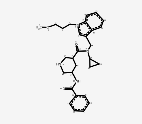 COCCCn1cc(CN(C(=O)C2CNCC(NC(=O)c3ccccc3)C2)C2CC2)c2ccccc21